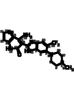 CN1CCN(c2cc3[nH]c(-c4c(N)c5[se]ccc5[nH]c4=O)nc3cc2C(F)(F)F)CC1